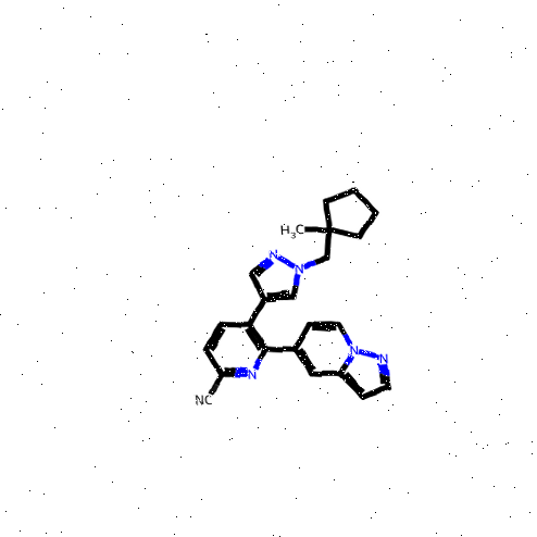 CC1(Cn2cc(-c3ccc(C#N)nc3-c3ccn4nccc4c3)cn2)CCCC1